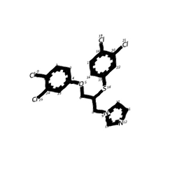 Clc1ccc(OCC(Cn2ccnc2)Sc2ccc(Cl)c(Cl)c2)cc1Cl